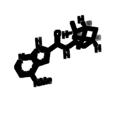 CNc1ccnc2[nH]c(C(=O)NC3C[C@H]4C[C@@H]([C@@H]3C)C4(C)C)cc12